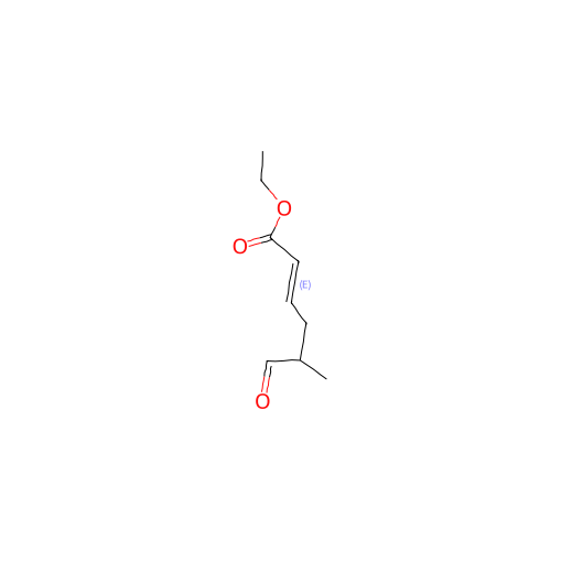 CCOC(=O)/C=C/CC(C)C=O